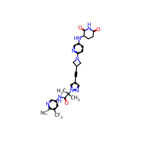 CC(C)(C(=O)Nc1cnc(C#N)c(C(F)(F)F)c1)n1cc(C#CC2CN(c3ccc(NC4CCC(=O)NC4=O)cn3)C2)cn1